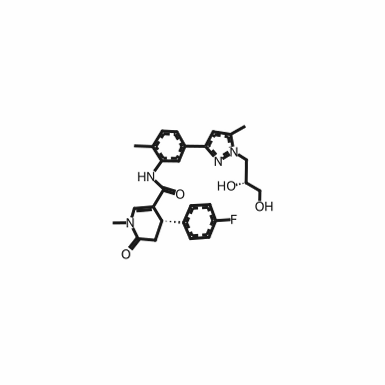 Cc1ccc(-c2cc(C)n(C[C@@H](O)CO)n2)cc1NC(=O)C1=CN(C)C(=O)C[C@H]1c1ccc(F)cc1